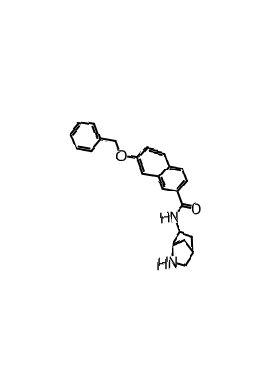 O=C(NC1CC2CNC1C2)c1ccc2ccc(OCc3ccccc3)cc2c1